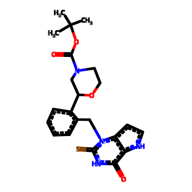 CC(C)(C)OC(=O)N1CCOC(c2ccccc2Cn2c(=S)[nH]c(=O)c3[nH]ccc32)C1